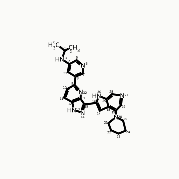 CC(C)Nc1cncc(-c2ccc3[nH]nc(-c4cc5c(N6CCCCC6)cncc5[nH]4)c3n2)c1